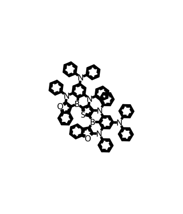 c1ccc(N(c2ccccc2)c2cc3c4c(c2)N(c2ccccc2)c2c(sc5c2N(c2ccccc2)c2cc(N(c6ccccc6)c6ccccc6)cc6c2B5c2c(oc5ccccc25)N6c2ccccc2)B4c2c(oc4ccccc24)N3c2ccccc2)cc1